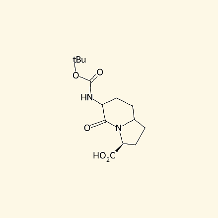 CC(C)(C)OC(=O)NC1CCC2CC[C@@H](C(=O)O)N2C1=O